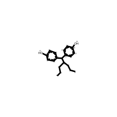 CCCC(CCC)C(c1ccc(O)cc1)c1ccc(O)cc1